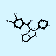 O=C(c1ccc(F)c(F)c1)C1N(c2ccccc2)CC2CCCN21